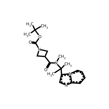 CN(C(=O)C1CN(C(=O)OC(C)(C)C)C1)C(C)(C)c1cnc2ccccn12